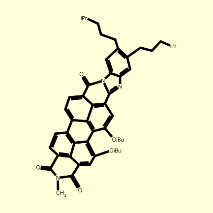 CC(C)CCCc1cc2nc3c4cc(OCC(C)C)c5c6c(OCC(C)C)cc7c8c(ccc(c9ccc(c(=O)n3c2cc1CCCC(C)C)c4c95)c86)C(=O)N(C)C7=O